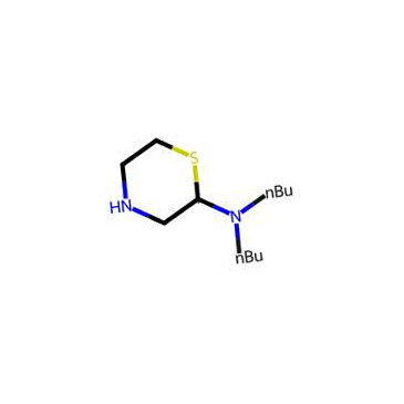 CCCCN(CCCC)[C]1CNCCS1